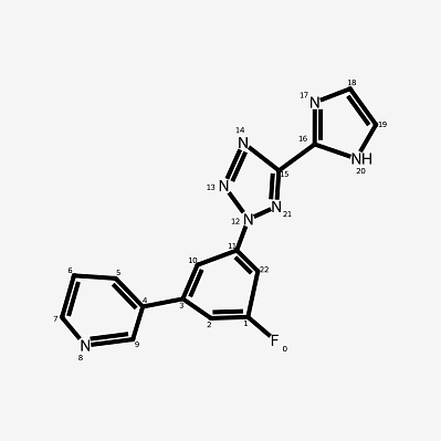 Fc1cc(-c2cccnc2)cc(-n2nnc(-c3ncc[nH]3)n2)c1